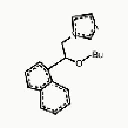 CCC(C)OC(Cn1ccnc1)c1cccc2ccccc12